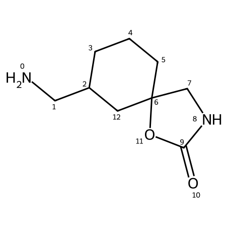 NCC1CCCC2(CNC(=O)O2)C1